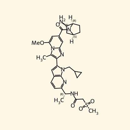 COc1cc(C(=O)N2[C@H]3CC[C@@H]2[C@H](N)C3)cc2nc(-c3cc4ccc([C@@H](C)NC(=O)CS(C)(=O)=O)nc4n3CC3CC3)c(C)n12